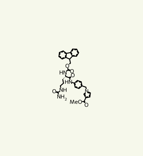 COC(=O)c1ccn(Cc2ccc(NC(=O)[C@H](CCCNC(N)=O)NC(=O)OCC3c4ccccc4-c4ccccc43)cc2)c1